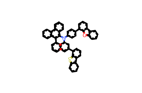 c1ccc(-c2c(N(c3ccc(-c4cccc5c4oc4ccccc45)cc3)c3cccc(-c4cccc5c4sc4ccccc45)c3)c3ccccc3c3ccccc23)cc1